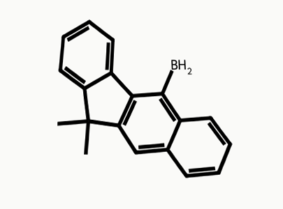 Bc1c2c(cc3ccccc13)C(C)(C)c1ccccc1-2